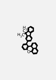 CC1(C)c2ccccc2-c2ccc(-c3cccc4c3-c3cccc5cccc(c35)O4)cc21